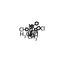 CN(C)S(=O)(=O)NC(=O)c1[nH]c2cc(Cl)ccc2c1-c1c(-c2ccccc2)cnn1Cc1ccc(Cl)cc1